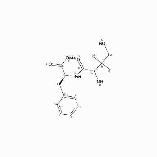 COC(=O)[C@H](Cc1ccccc1)NC(=O)C(O)C(C)(C)CO